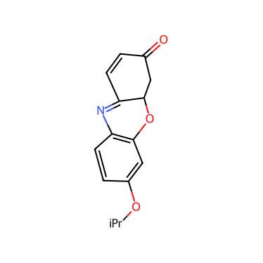 CC(C)Oc1ccc2c(c1)OC1CC(=O)C=CC1=N2